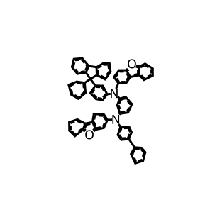 c1ccc(-c2ccc(N(c3cccc(N(c4cccc(C5(c6ccccc6)c6ccccc6-c6ccccc65)c4)c4ccc5oc6ccccc6c5c4)c3)c3ccc4c(c3)oc3ccccc34)cc2)cc1